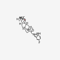 COC[C@]12CC[C@@](C)(O)C[C@@H]1CC[C@H]1[C@@H]3CC[C@H](C(=O)CN/C=C4/C=C(F)C=CC4=N)[C@@]3(C)CC[C@@H]12